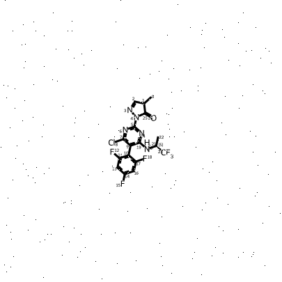 CC1C=NN(c2nc(Cl)c(-c3c(F)cc(F)cc3F)c(N[C@@H](C)C(F)(F)F)n2)C1=O